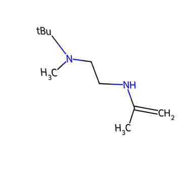 C=C(C)NCCN(C)C(C)(C)C